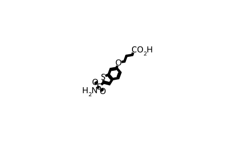 NS(=O)(=O)c1cc2ccc(OCCCC(=O)O)cc2s1